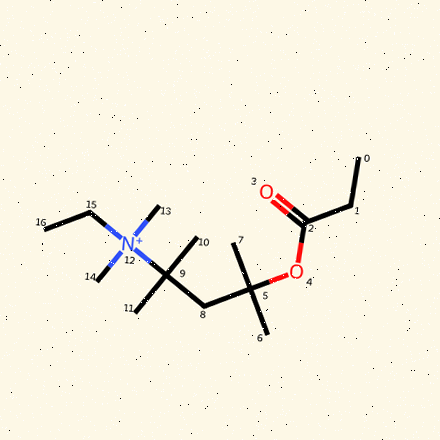 CCC(=O)OC(C)(C)CC(C)(C)[N+](C)(C)CC